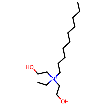 CCCCCCCCCC[N+](CC)(CCO)CCO